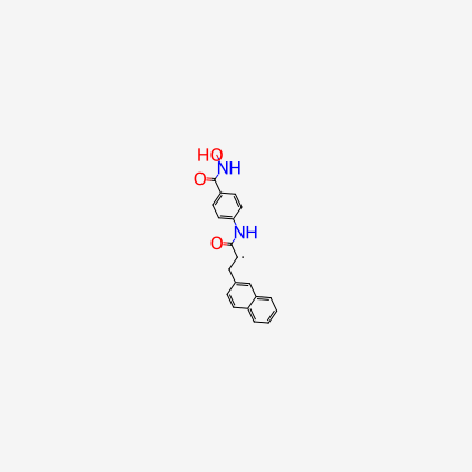 O=C([CH]Cc1ccc2ccccc2c1)Nc1ccc(C(=O)NO)cc1